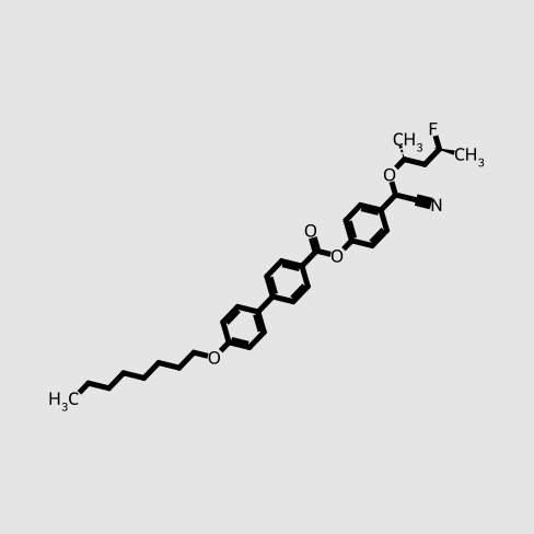 CCCCCCCCOc1ccc(-c2ccc(C(=O)Oc3ccc(C(C#N)O[C@H](C)C[C@H](C)F)cc3)cc2)cc1